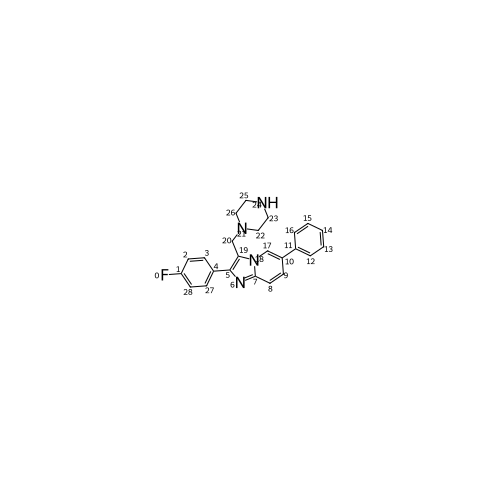 Fc1ccc(-c2nc3ccc(-c4ccccc4)cn3c2CN2CCNCC2)cc1